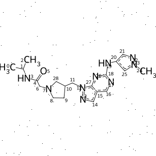 CC(C)NC(=O)CN1CCC(Cn2ncc3cnc(Nc4cnn(C)c4)nc32)C1